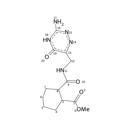 COC(=O)C1CCCCC1C(=O)NCc1nnc(N)[nH]c1=O